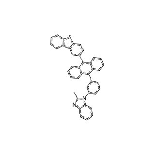 Cc1nc2ccccc2n1-c1cccc(-c2c3ccccc3c(-c3ccc4sc5ccccc5c4c3)c3ccccc23)c1